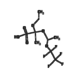 CCOC(C)(OC(C)OC(F)(F)C(F)(F)F)S(=O)(=O)O